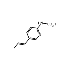 CC=Cc1ccc(NC(=O)O)nc1